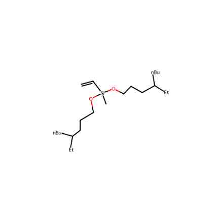 C=C[Si](C)(OCCCC(CC)CCCC)OCCCC(CC)CCCC